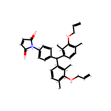 C=CCOc1c(C)ccc(C(c2ccc(N3C(=O)C=CC3=O)cc2)c2ccc(C)c(OCC=C)c2C)c1C